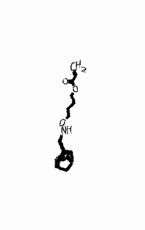 C=CC(=O)OCCCCONCC1CC2CCC1C2